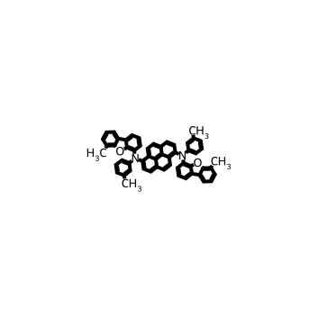 Cc1cccc(N(c2ccc3ccc4c(N(c5cccc(C)c5)c5cccc6c5oc5c(C)cccc56)ccc5ccc2c3c54)c2cccc3c2oc2c(C)cccc23)c1